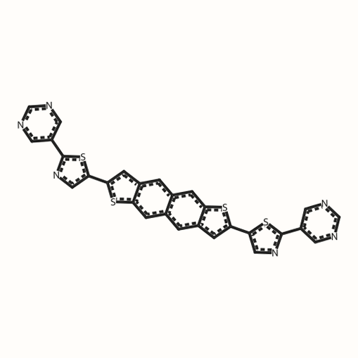 c1ncc(-c2ncc(-c3cc4cc5cc6sc(-c7cnc(-c8cncnc8)s7)cc6cc5cc4s3)s2)cn1